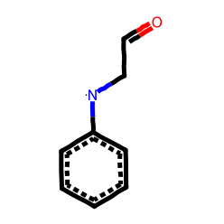 O=CC[N]c1ccccc1